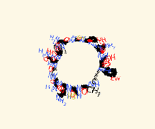 C[C@@H]1NCCCCN[C@@H](Cc2ccc(O)cc2)C(=O)C(=O)C(CO)NC(=O)[C@H](CCC(N)=O)NC(=O)C(Cc2ccc(O)cc2)NC(=O)[C@H](CS)NC(=O)C(CC(N)=O)NC(=O)[C@H]([C@@H](C)O)NC(=O)C(CCC(N)=O)NC(=O)CNC(=O)C(CC(N)=O)NC(=O)[C@H](CCCCN)NC(=O)C(CS)NC1=O